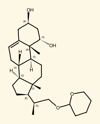 C[C@H](COC1CCCCO1)[C@H]1CC[C@H]2[C@@H]3CC=C4C[C@@H](O)C[C@H](O)[C@]4(C)[C@H]3CC[C@]12C